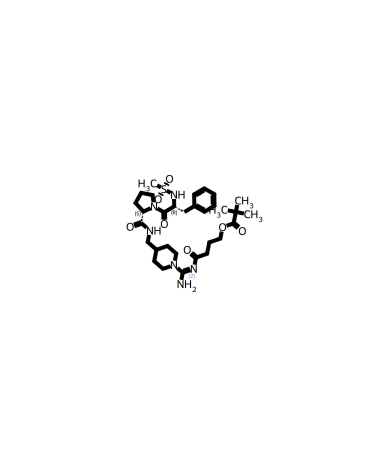 CC(C)(C)C(=O)OCCCC(=O)/N=C(/N)N1CCC(CNC(=O)[C@@H]2CCCN2C(=O)[C@@H](Cc2ccccc2)NS(C)(=O)=O)CC1